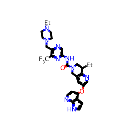 CCC1CN(C(=O)Nc2cnc(CN3CCN(CC)CC3)c(C(F)(F)F)n2)Cc2cc(Oc3ccnc4[nH]ccc34)cnc21